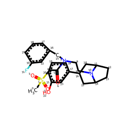 CS(=O)(=O)CC(=O)N(CCN1C2CCC1CC(c1cccc(O)c1)C2)Cc1cccc(F)c1